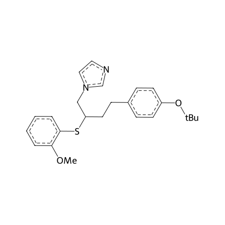 COc1ccccc1SC(CCc1ccc(OC(C)(C)C)cc1)Cn1ccnc1